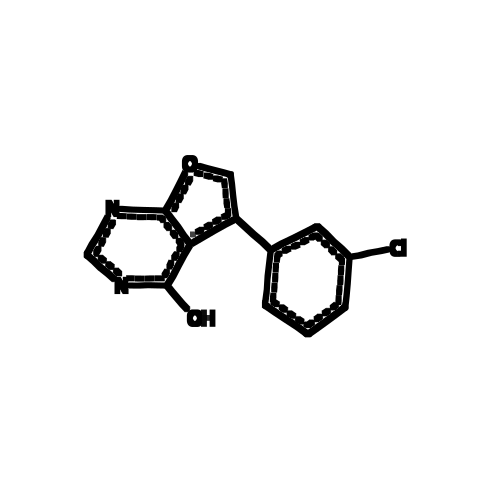 Oc1ncnc2occ(-c3cccc(Cl)c3)c12